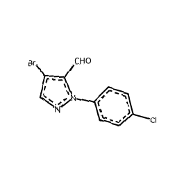 O=Cc1c(Br)cnn1-c1ccc(Cl)cc1